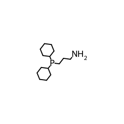 NCCCP(C1CCCCC1)C1CCCCC1